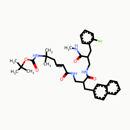 CNC(=O)C(CNC(=O)C(CNC(=O)/C=C/CC(C)(C)NC(=O)OC(C)(C)C)Cc1ccc2ccccc2c1)Cc1ccccc1F